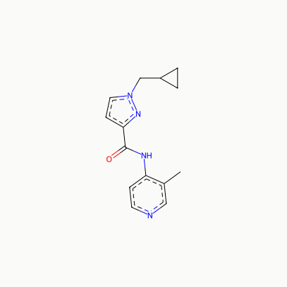 Cc1cnccc1NC(=O)c1ccn(CC2CC2)n1